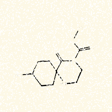 CC(C)(C)OC(=O)N1CCNC2(CCC(O)CC2)C1=O